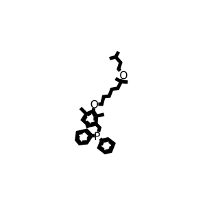 Cc1cc(C)c(OCCCCCC(C)(C)OCCC(C)C)c(C)c1CP(c1ccccc1)c1ccccc1